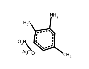 Cc1ccc(N)c(N)c1.O=[N+]([O-])[O-].[Ag+]